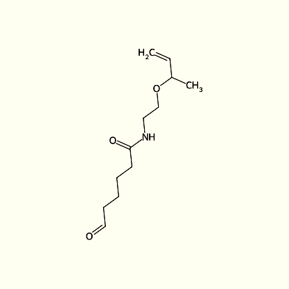 C=CC(C)OCCNC(=O)CCCCC=O